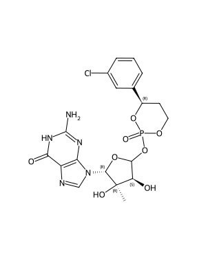 C[C@@]1(O)[C@H](O)C(OP2(=O)OCC[C@H](c3cccc(Cl)c3)O2)O[C@H]1n1cnc2c(=O)[nH]c(N)nc21